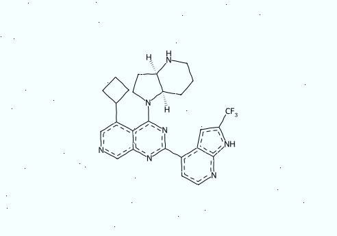 FC(F)(F)c1cc2c(-c3nc(N4CC[C@H]5NCCC[C@H]54)c4c(C5CCC5)cncc4n3)ccnc2[nH]1